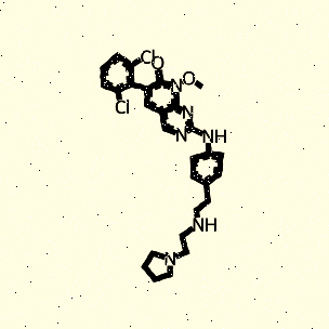 COn1c(=O)c(-c2c(Cl)cccc2Cl)cc2cnc(Nc3ccc(CCNCCN4CCCC4)cc3)nc21